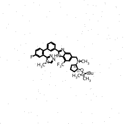 CN(Cc1cc(C(F)(F)F)c2[nH]c(-c3cccc(-c4ccc(F)cc4-c4nncn4C)c3)nc2c1)[C@@H]1CCC[C@@H]1O[Si](C)(C)C(C)(C)C